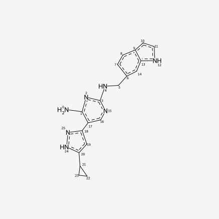 Nc1nc(NCc2ccc3cc[nH]c3c2)ncc1-c1cc(C2CC2)[nH]n1